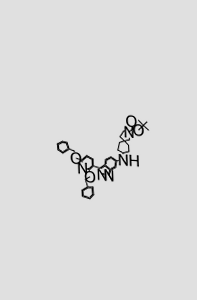 Cn1nc(-c2ccc(OCc3ccccc3)nc2OCc2ccccc2)c2ccc(NC3CCC4(CC3)CCN(C(=O)OC(C)(C)C)C4)cc21